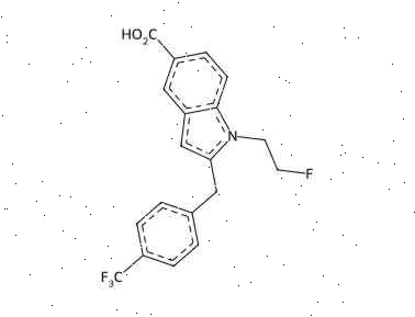 O=C(O)c1ccc2c(c1)cc(Cc1ccc(C(F)(F)F)cc1)n2CCF